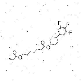 C=CC(=O)OCCCCCCC(=O)OC1CCC(c2cc(F)c(F)c(F)c2)CC1